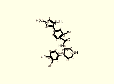 Cc1cn(C)nc1-c1ccc(C(=O)N[C@@H]2CNCC[C@H]2c2ccc(F)c(F)c2)c(F)c1